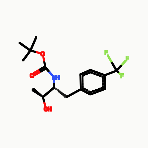 C[C@H](O)[C@@H](Cc1ccc(C(F)(F)F)cc1)NC(=O)OC(C)(C)C